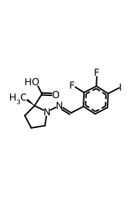 C[C@]1(C(=O)O)CCCN1N=Cc1ccc(I)c(F)c1F